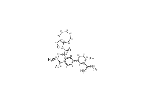 C=C(NC(C)C)c1cc(-c2ccc3c(c2)N(C(=O)C2OCC4=C2CCCCCC4)CC(C)N3C(C)=O)ccc1F